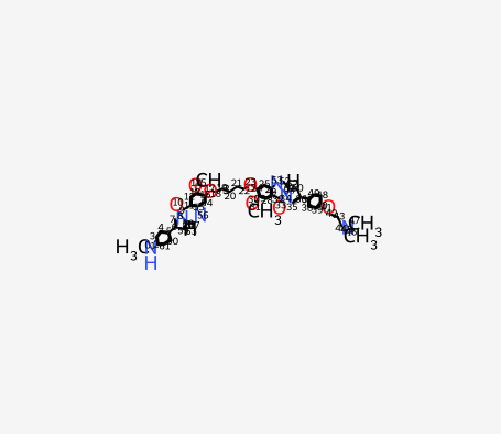 CNc1ccc(C2=CN3C(=O)c4cc(OC)c(OCCCCCOc5cc6c(cc5OC)C(=O)N5C=C(c7ccc(OCCCN(C)C)cc7)C[C@H]5C=N6)cc4N=C[C@@H]3C2)cc1